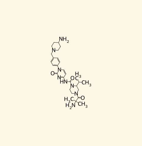 CC(C)C1CN(C(=O)C(C)(C)N)CCN1C(=O)Nc1ccn(-c2ccc(CN3CCC(N)CC3)cc2)c(=O)n1